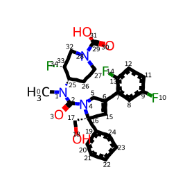 CN(C(=O)N1CC(c2cc(F)ccc2F)=C[C@@]1(CO)c1ccccc1)[C@H]1CCN(C(=O)O)C[C@H]1F